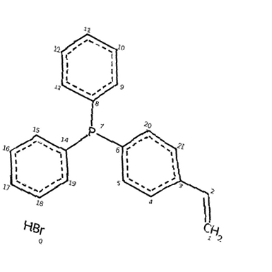 Br.C=Cc1ccc(P(c2ccccc2)c2ccccc2)cc1